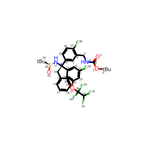 CC(C)(C)OC(=O)NCc1cc([C@@](Cc2ccccc2)(N[S+]([O-])C(C)(C)C)c2cc(F)cc(OC(F)(F)C(F)F)c2)ccc1F